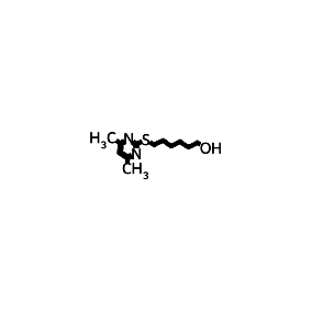 Cc1cc(C)nc(SCCCCCCO)n1